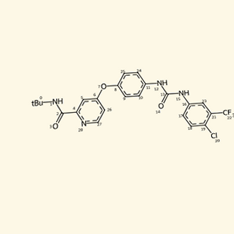 CC(C)(C)NC(=O)c1cc(Oc2ccc(NC(=O)Nc3ccc(Cl)c(C(F)(F)F)c3)cc2)ccn1